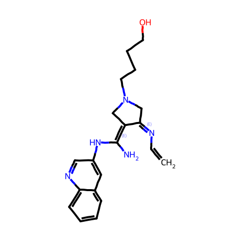 C=C/N=C1/CN(CCCCO)C/C1=C(/N)Nc1cnc2ccccc2c1